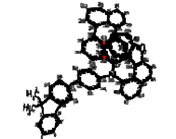 CC1(C)c2ccccc2-c2cc(-c3ccc(N(c4ccc(-c5cccc6cccc(-c7ccccc7)c56)cc4)c4cccc5ccc6oc7ccccc7c6c45)cc3)ccc21